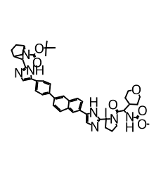 COC(=O)NC(C(=O)N1CCCC1(I)c1ncc(-c2ccc3cc(-c4ccc(-c5cnc(C6C7CCC(C7)N6C(=O)OC(C)(C)C)[nH]5)cc4)ccc3c2)[nH]1)C1CCOCC1